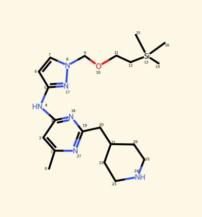 Cc1cc(Nc2ccn(COCC[Si](C)(C)C)n2)nc(CC2CCNCC2)n1